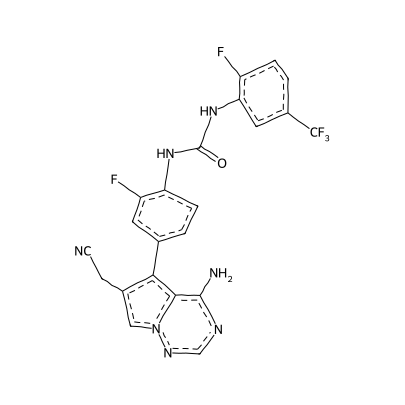 N#CCc1cn2ncnc(N)c2c1-c1ccc(NC(=O)Nc2cc(C(F)(F)F)ccc2F)c(F)c1